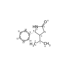 CC(C)C1CC(=O)N[C@H]1c1ccccc1